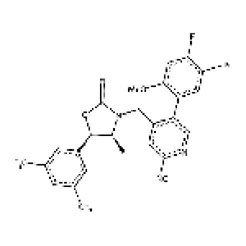 [C-]#[N+]c1cc(CN2C(=O)O[C@H](c3cc(C(F)(F)F)cc(C(F)(F)F)c3)[C@@H]2C)c(-c2cc(C(C)C)c(F)cc2OC)cn1